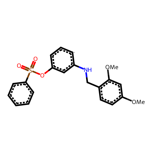 COc1ccc(CNc2[c]ccc(OS(=O)(=O)c3ccccc3)c2)c(OC)c1